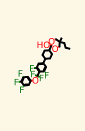 CCCC1(C)COC(O)(C2CCC(c3cc(F)c(C(F)(F)Oc4cc(F)c(F)c(F)c4)c(F)c3)CC2)OC1